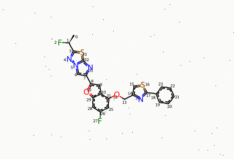 C[C@H](F)c1nn2cc(-c3cc4c(OCc5csc(-c6ccccc6)n5)cc(F)cc4o3)nc2s1